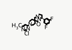 Cc1cc(N2CCC3(CC2)CN2CC[C@@H](c4cc(F)cc(F)c4)N2C3=O)nc(Cl)n1